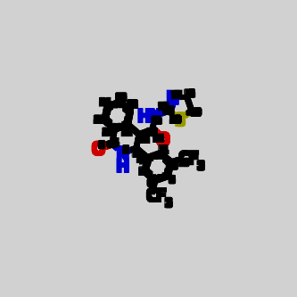 O=C1NC(c2cc(C(F)(F)F)cc(C(F)(F)F)c2)C(C(=O)NC2=NCCS2)c2ccccc21